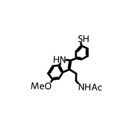 COc1ccc2[nH]c(-c3cccc(S)c3)c(CCNC(C)=O)c2c1